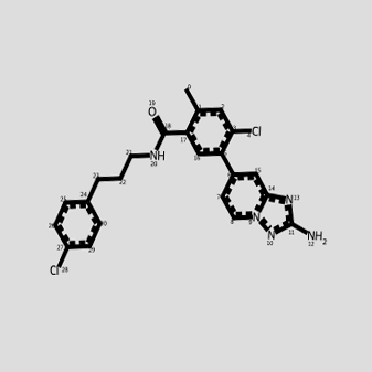 Cc1cc(Cl)c(-c2ccn3nc(N)nc3c2)cc1C(=O)NCCCc1ccc(Cl)cc1